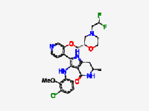 COc1c(Cl)cccc1Nc1c(-c2ccncc2OC[C@@H]2CN(CC(F)F)CCO2)[nH]c2c1C(=O)N[C@H](C)C2